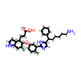 NCCCCCC(c1ccccc1)c1cnc(-c2cc(Oc3c(F)cc4[nH]ccc4c3/C=C/C(=O)O)ccc2F)[nH]1